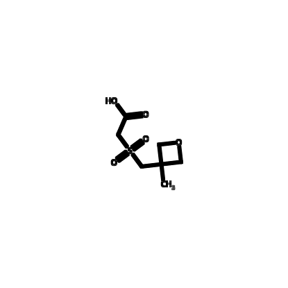 CC1(CS(=O)(=O)CC(=O)O)COC1